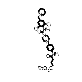 CCOC(=O)CCCC(=O)Nc1ccc(N2CCN(C(=O)Nc3c(Cl)cc(CN4CCCCC4)cc3Cl)CC2)cc1